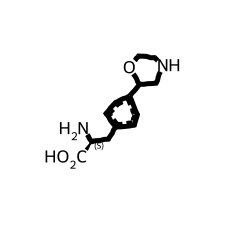 N[C@@H](Cc1ccc(C2CNCCO2)cc1)C(=O)O